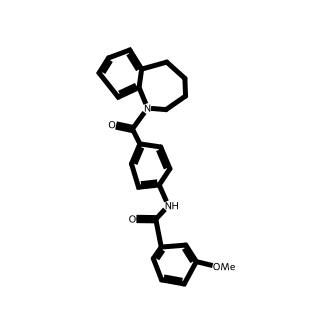 COc1cccc(C(=O)Nc2ccc(C(=O)N3CCCCc4ccccc43)cc2)c1